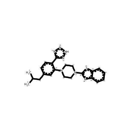 CC(C)Cc1ccc(-c2nn[nH]n2)c(N2CCN(c3nc4ccccc4s3)CC2)c1